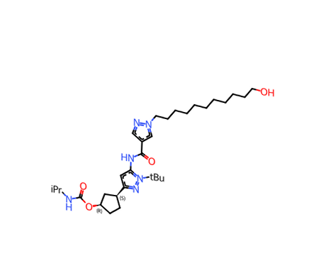 CC(C)NC(=O)O[C@@H]1CC[C@H](c2cc(NC(=O)c3cnn(CCCCCCCCCCCO)c3)n(C(C)(C)C)n2)C1